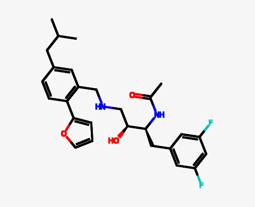 CC(=O)N[C@@H](Cc1cc(F)cc(F)c1)[C@@H](O)CNCc1cc(CC(C)C)ccc1-c1ccco1